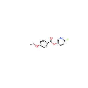 CCOc1ccc(C(=O)Oc2ccc(F)nc2)cc1